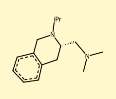 CC(C)N1Cc2ccccc2C[C@H]1CN(C)C